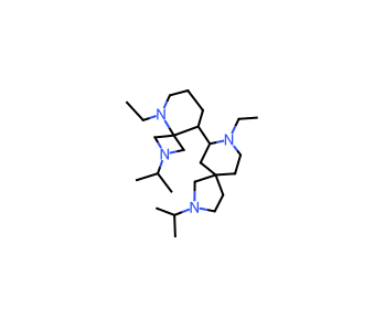 CCN1CCC2(CCN(C(C)C)C2)CC1C1CCCN(CC)C12CN(C(C)C)C2